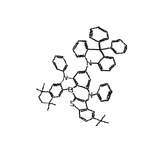 CC(C)(C)c1ccc2sc3c(c2c1)N(c1ccccc1)c1cc(N2c4ccccc4C(c4ccccc4)(c4ccccc4)c4ccccc42)cc2c1B3c1cc3c(cc1N2c1ccccc1)C(C)(C)CCC3(C)C